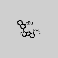 CC(C)(C)c1cc(-c2nccc3c2sc2c(P)cccc23)cc2ccccc12